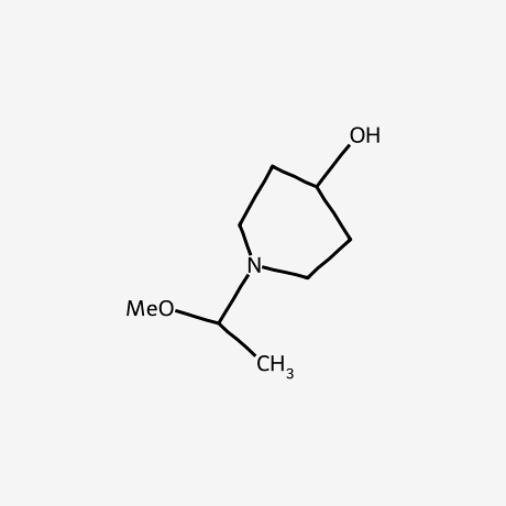 COC(C)N1CCC(O)CC1